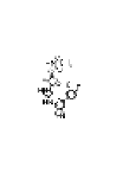 CC1(NC(=O)O[C@H]2CO[C@@H](c3cc(Nc4nc(-c5ccc(F)c(Cl)c5)cc5nccn45)n[nH]3)[C@@H]2F)CC1